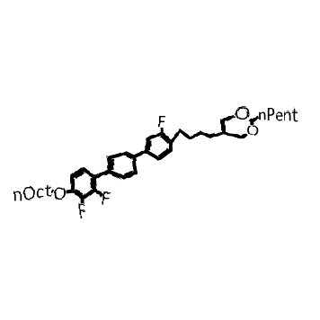 CCCCCCCCOc1ccc(-c2ccc(-c3ccc(CCCCC4COC(CCCCC)OC4)c(F)c3)cc2)c(F)c1F